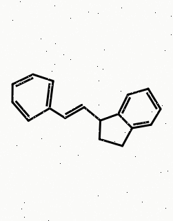 C(=CC1CCc2ccccc21)c1ccccc1